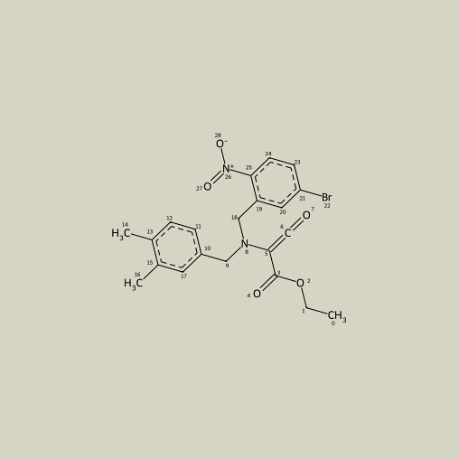 CCOC(=O)C(=C=O)N(Cc1ccc(C)c(C)c1)Cc1cc(Br)ccc1[N+](=O)[O-]